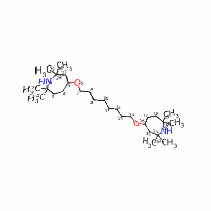 CC1(C)CCC(OCCCCCCCCOC2CCC(C)(C)NC(C)(C)C2)CC(C)(C)N1